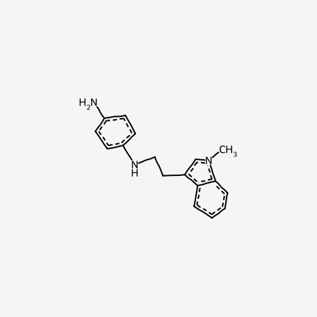 Cn1cc(CCNc2ccc(N)cc2)c2ccccc21